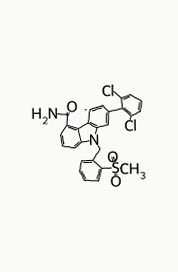 CS(=O)(=O)c1ccccc1Cn1c2cc(-c3c(Cl)cccc3Cl)c[c]c2c2c(C(N)=O)cccc21